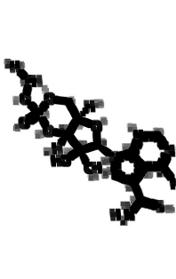 [2H]POP1(=O)OC[C@H]2O[C@@H](n3cc(C(N)=S)c4c(N)ncnc43)[C@](C)(O)[C@@H]2O1